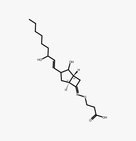 CCCCCCC(O)C=CC1C[C@@H]2C(=NOCCC(=O)O)C[C@H]2C1O